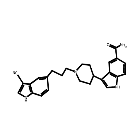 N#Cc1c[nH]c2ccc(CCCN3CCC(c4c[nH]c5ccc(C(N)=O)cc45)CC3)cc12